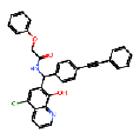 O=C(COc1ccccc1)NC(c1ccc(C#Cc2ccccc2)cc1)c1cc(Cl)c2cccnc2c1O